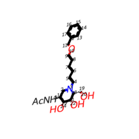 CC(=O)N[C@H]1CN(CCCCCCOCc2ccccc2)[C@H](CO)[C@H](O)[C@@H]1O